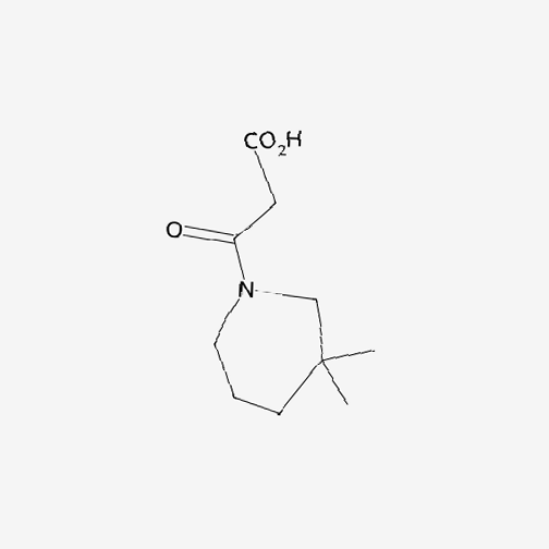 CC1(C)CCCN(C(=O)CC(=O)O)C1